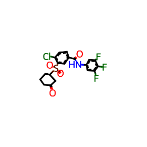 O=C1CCCC(S(=O)(=O)c2cc(C(=O)Nc3cc(F)c(F)c(F)c3)ccc2Cl)C1